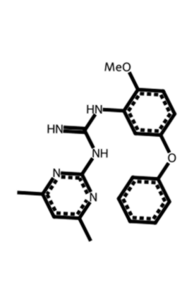 COc1ccc(Oc2ccccc2)cc1NC(=N)Nc1nc(C)cc(C)n1